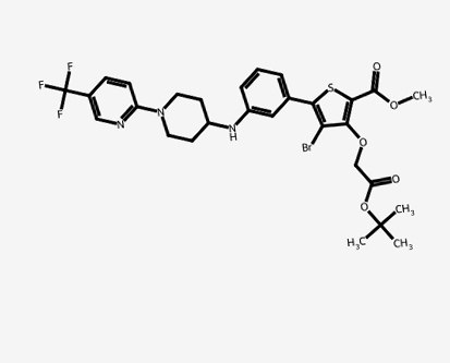 COC(=O)c1sc(-c2cccc(NC3CCN(c4ccc(C(F)(F)F)cn4)CC3)c2)c(Br)c1OCC(=O)OC(C)(C)C